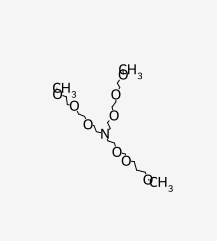 COCCCOCOCCN(CCOCCOCCOC)CCOCCOCCOC